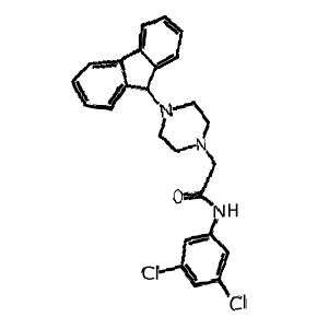 O=C(CN1CCN(C2c3ccccc3-c3ccccc32)CC1)Nc1cc(Cl)cc(Cl)c1